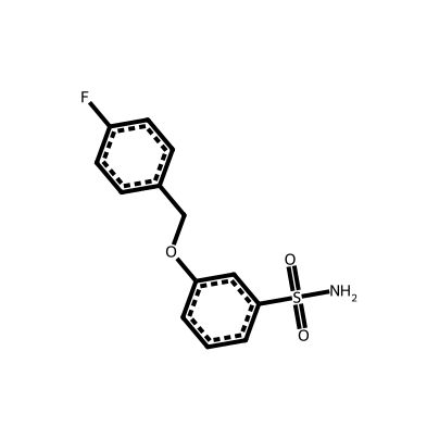 NS(=O)(=O)c1cccc(OCc2ccc(F)cc2)c1